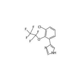 FC(F)(F)C(F)(F)Oc1c(Cl)cccc1-c1c[nH][c]n1